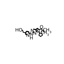 CN(C)C(=O)c1cc2cnc(Nc3ccc(CCO)cn3)nc2n1C1CCCC1